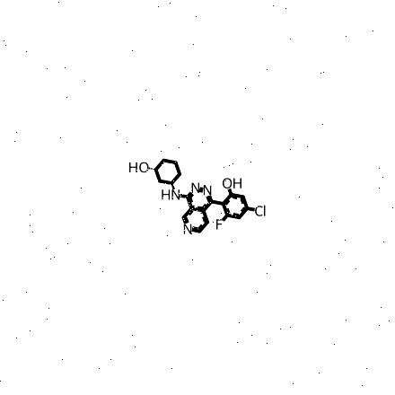 Oc1cc(Cl)cc(F)c1-c1nnc(N[C@@H]2CCC[C@@H](O)C2)c2cnccc12